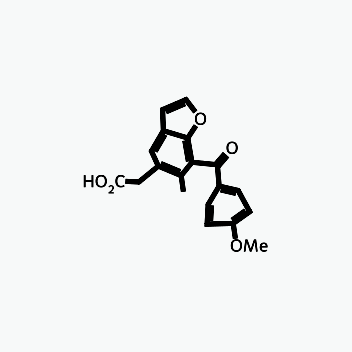 COc1ccc(C(=O)c2c(C)c(CC(=O)O)cc3ccoc23)cc1